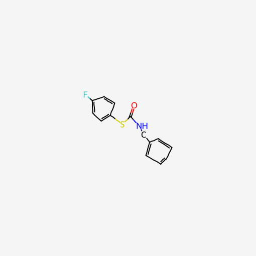 O=C(NCc1ccccc1)Sc1ccc(F)cc1